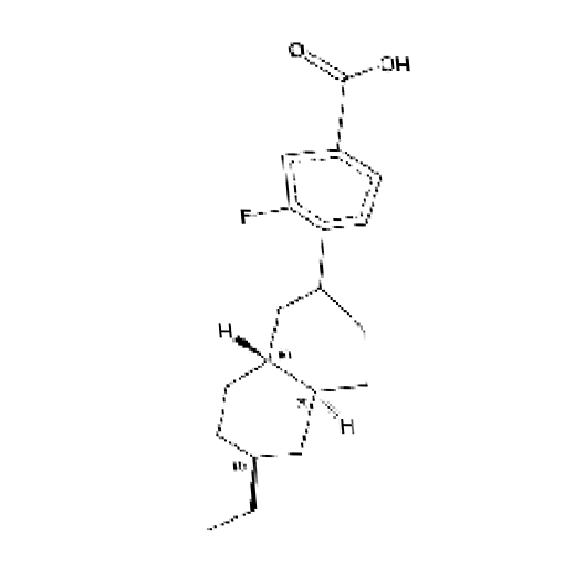 CC[C@H]1CC[C@@H]2CC(c3ccc(C(=O)O)cc3F)CC[C@H]2C1